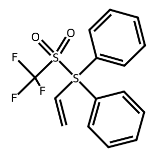 C=CS(c1ccccc1)(c1ccccc1)S(=O)(=O)C(F)(F)F